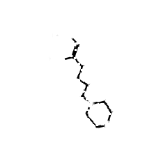 O=C(O)/C=C(/CCCCN1CCOCC1)C(=O)O